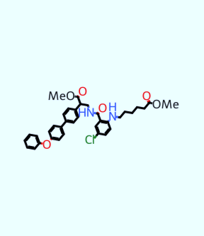 COC(=O)CCCCCNc1ccc(Cl)cc1C(=O)NCC(C(=O)OC)c1ccc(-c2ccc(Oc3ccccc3)cc2)cc1